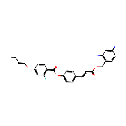 Nc1ccc(COC(=O)/C=C/c2ccc(OC(=O)c3ccc(OCCCC(F)(F)F)cc3F)cc2)c(N)c1